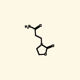 NC(=O)CCN1CCOC1=O